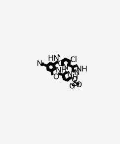 CNC(=O)c1cc(C#N)cc(C)c1NC(=O)C1=CC=C(O[SH](=O)=O)N(C2=NNCC2c2ncccc2Cl)C1